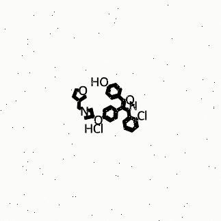 Cl.Oc1ccc(-c2onc(-c3ccccc3Cl)c2-c2ccc(OC3CN(CC4CCOC4)C3)cc2)cc1